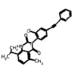 Cc1ccc(C(C)C)c2[nH]c(=O)n(-c3ccc(C#Cc4ccccc4)cc3Cl)c(=O)c12